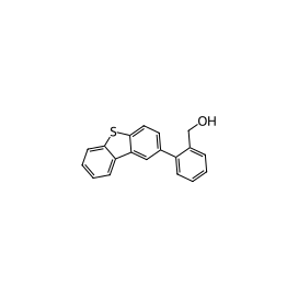 OCc1ccccc1-c1ccc2sc3ccccc3c2c1